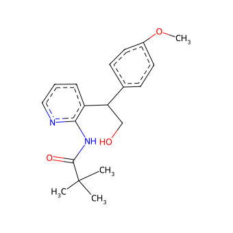 COc1ccc(C(CO)c2cccnc2NC(=O)C(C)(C)C)cc1